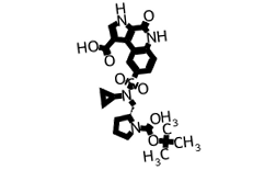 CC(C)(C)OC(=O)N1CCC[C@@H]1CN(C1CC1)S(=O)(=O)c1ccc2[nH]c(=O)c3[nH]cc(C(=O)O)c3c2c1